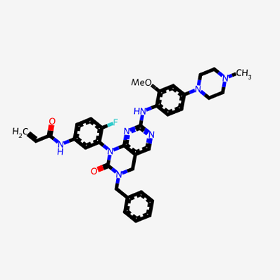 C=CC(=O)Nc1ccc(F)c(N2C(=O)N(Cc3ccccc3)Cc3cnc(Nc4ccc(N5CCN(C)CC5)cc4OC)nc32)c1